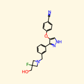 N#Cc1ccc(Oc2c[nH]nc2-c2cccc(CN3CC(F)(CO)C3)c2)cc1